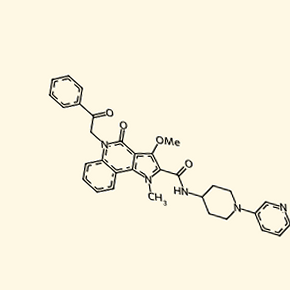 COc1c(C(=O)NC2CCN(c3cccnc3)CC2)n(C)c2c1c(=O)n(CC(=O)c1ccccc1)c1ccccc21